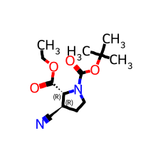 CCOC(=O)[C@H]1[C@H](C#N)CCN1C(=O)OC(C)(C)C